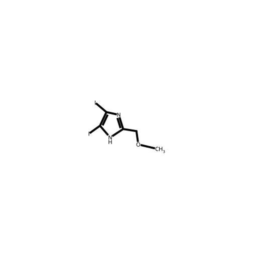 COCc1nc(I)c(I)[nH]1